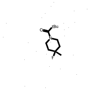 CC1(F)CCN(C(=O)C(C)(C)C)CC1